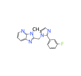 Cn1c(Cn2ccnc2-c2cccc(F)c2)nc2cccnc21